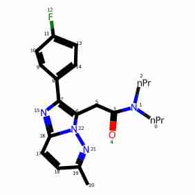 CCCN(CCC)C(=O)Cc1c(-c2ccc(F)cc2)nc2ccc(C)nn12